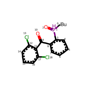 CCC(C)[PH](=O)c1ccccc1C(=O)c1c(Cl)cccc1Cl